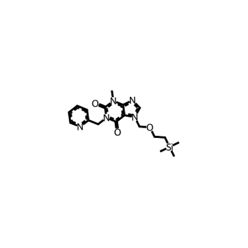 Cn1c(=O)n(Cc2ccccn2)c(=O)c2c1ncn2COCC[Si](C)(C)C